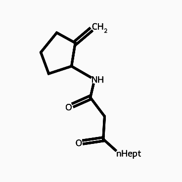 C=C1CCCC1NC(=O)CC(=O)CCCCCCC